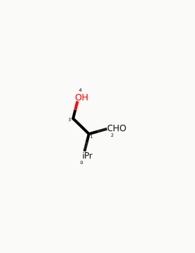 CC(C)C(C=O)CO